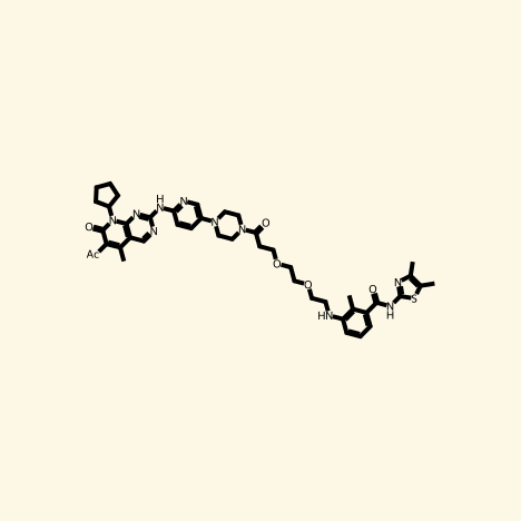 CC(=O)c1c(C)c2cnc(Nc3ccc(N4CCN(C(=O)CCOCCOCCNc5cccc(C(=O)Nc6nc(C)c(C)s6)c5C)CC4)cn3)nc2n(C2CCCC2)c1=O